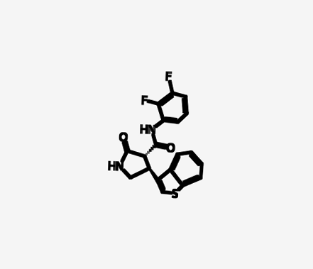 O=C1NC[C@H](c2csc3ccccc23)[C@H]1C(=O)Nc1cccc(F)c1F